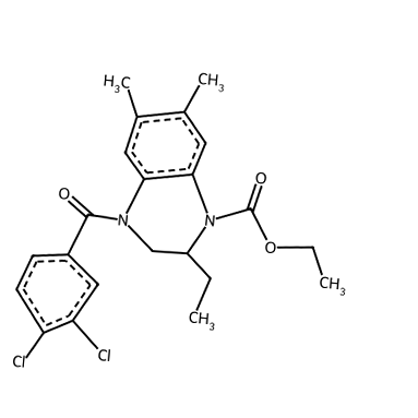 CCOC(=O)N1c2cc(C)c(C)cc2N(C(=O)c2ccc(Cl)c(Cl)c2)CC1CC